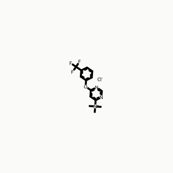 C[N+](C)(C)c1cc(Oc2cccc(C(F)(F)F)c2)ncn1.[Cl-]